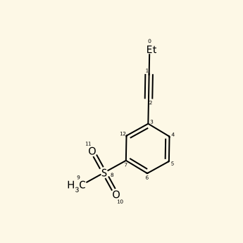 [CH2]CC#Cc1cccc(S(C)(=O)=O)c1